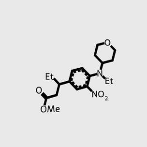 CCC(CC(=O)OC)c1ccc(N(CC)C2CCOCC2)c([N+](=O)[O-])c1